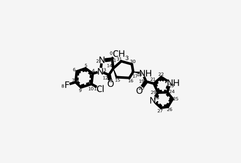 CC1=NN(c2ccc(F)cc2Cl)C(=O)[C@]12CC[C@H](NC(=O)c1c[nH]c3cccnc13)CC2